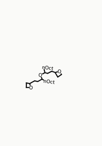 CCCCCCCCC(CCC1CCO1)OC(CCCCCCCC)CCC1CCO1